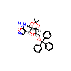 CC1(C)O[C@@H]2[C@H](O1)[C@@H](COC(c1ccccc1)(c1ccccc1)c1ccccc1)O[C@@H]2c1cnoc1N